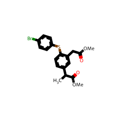 COC(=O)Cc1cc(C(C)C(=O)OC)ccc1Sc1ccc(Br)cc1